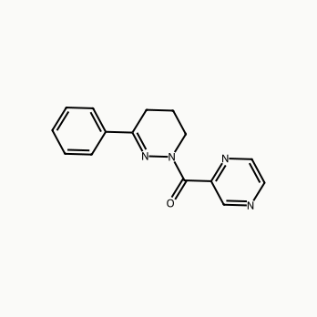 O=C(c1cnccn1)N1CCCC(c2ccccc2)=N1